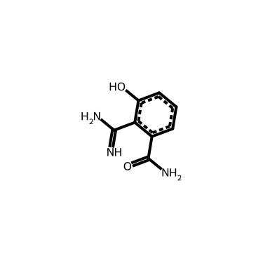 N=C(N)c1c(O)cccc1C(N)=O